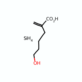 C=C(CCCCO)C(=O)O.[SiH4]